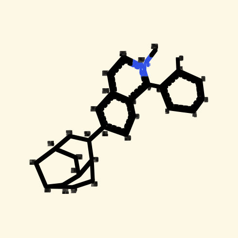 Cc1ccccc1-c1c2ccc(C3CC4CC5CCC3C(C5)C4)cc2cc[n+]1C